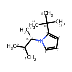 CC(C)[C@H](C)n1cccc1C(C)(C)C